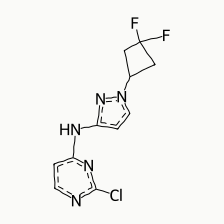 FC1(F)CC(n2ccc(Nc3ccnc(Cl)n3)n2)C1